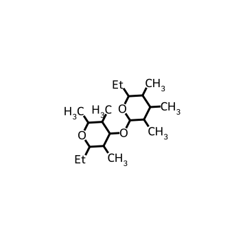 CCC1OC(OC2C(C)C(C)OC(CC)C2C)C(C)C(C)C1C